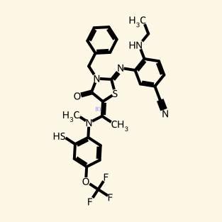 CCNc1ccc(C#N)cc1N=C1S/C(=C(\C)N(C)c2ccc(OC(F)(F)F)cc2S)C(=O)N1Cc1ccccc1